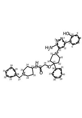 Nc1nnc(-c2ccccc2O)cc1N1CCC(OCC(=O)NC2CCN(Cc3ccccc3)CC2)(c2ccccc2)CC1